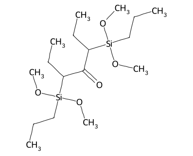 CCC[Si](OC)(OC)C(CC)C(=O)C(CC)[Si](CCC)(OC)OC